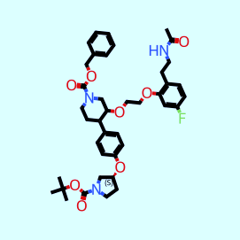 CC(=O)NCCc1ccc(F)cc1OCCOC1CN(C(=O)OCc2ccccc2)CCC1c1ccc(O[C@H]2CCN(C(=O)OC(C)(C)C)C2)cc1